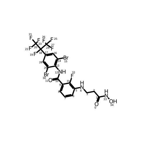 O=C(CCNc1cccc(C(=O)Nc2c(Br)cc(C(F)(C(F)(F)F)C(F)(F)F)cc2Br)c1F)NO